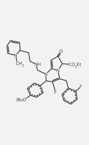 CCOC(=O)C1C(=O)C=C2N(CNCCC3C=CC=CN3C)C(c3ccc(OCC(C)C)cc3)C(F)=C(Cc3ccccc3F)N21